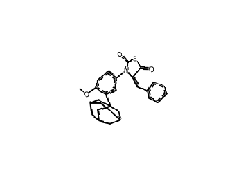 COc1ccc(N2C(=O)SC(=O)C2=Cc2ccccc2)cc1C12CC3CC(CC(C3)C1)C2